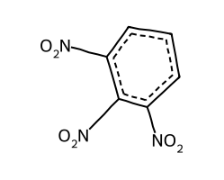 O=[N+]([O-])c1cccc([N+](=O)[O-])c1[N+](=O)[O-]